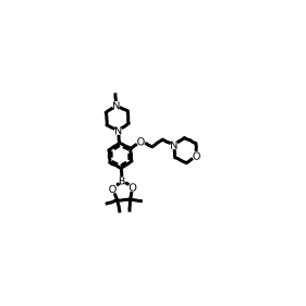 CN1CCN(c2ccc(B3OC(C)(C)C(C)(C)O3)cc2OCCN2CCOCC2)CC1